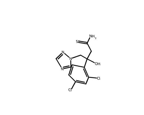 NC(=S)CC(O)(Cn1cncn1)c1ccc(Cl)cc1Cl